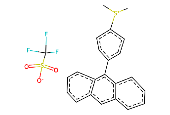 C[S+](C)c1ccc(-c2c3ccccc3cc3ccccc23)cc1.O=S(=O)([O-])C(F)(F)F